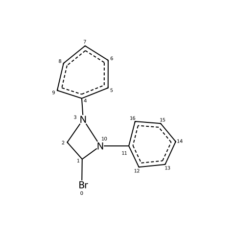 BrC1CN(c2ccccc2)N1c1ccccc1